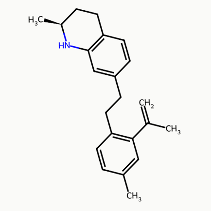 C=C(C)c1cc(C)ccc1CCc1ccc2c(c1)N[C@@H](C)CC2